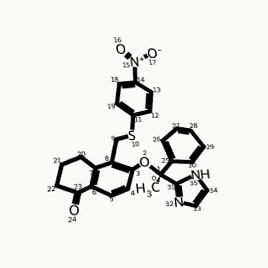 C[C@](Oc1ccc2c(c1CSc1ccc([N+](=O)[O-])cc1)CCCC2=O)(c1ccccc1)c1ncc[nH]1